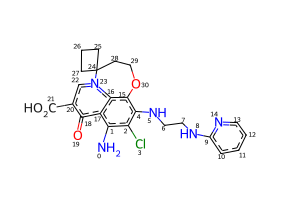 Nc1c(Cl)c(NCCNc2ccccn2)c2c3c1c(=O)c(C(=O)O)cn3C1(CCC1)CCO2